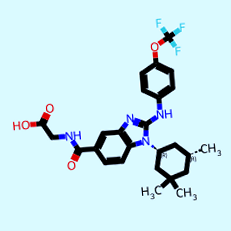 C[C@H]1C[C@@H](n2c(Nc3ccc(OC(F)(F)F)cc3)nc3cc(C(=O)NCC(=O)O)ccc32)CC(C)(C)C1